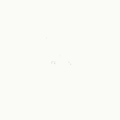 CC1C(C(=O)NC(c2ccccc2)C(C)(C)N2CCCC2)=CC=CC1Cl